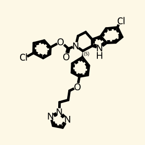 O=C(Oc1ccc(Cl)cc1)N1CCc2c([nH]c3ccc(Cl)cc23)[C@@H]1c1ccc(OCCCn2nccn2)cc1